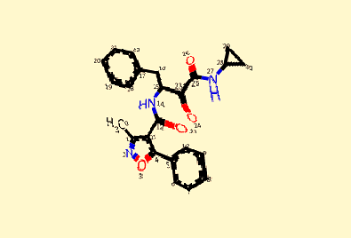 Cc1noc(-c2ccccc2)c1C(=O)NC(Cc1ccccc1)C(=O)C(=O)NC1CC1